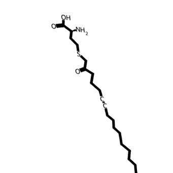 CCCCCCCCCCCCCCCC(=O)CSCC[C@H](N)C(=O)O